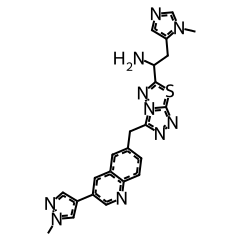 Cn1cc(-c2cnc3ccc(Cc4nnc5sc(C(N)Cc6cncn6C)nn45)cc3c2)cn1